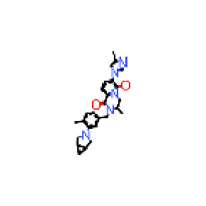 Cc1cn(-c2ccc3n(c2=O)CC(C)N(Cc2ccc(C)c(N4CC5CC5C4)c2)C3=O)cn1